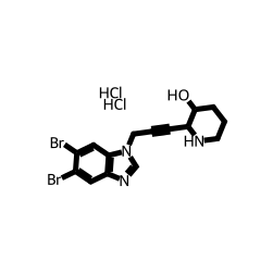 Cl.Cl.OC1CCCNC1C#CCn1cnc2cc(Br)c(Br)cc21